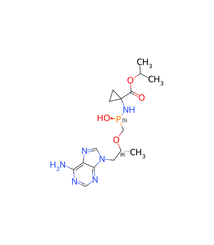 CC(C)OC(=O)C1(N[P@](O)CO[C@H](C)Cn2cnc3c(N)ncnc32)CC1